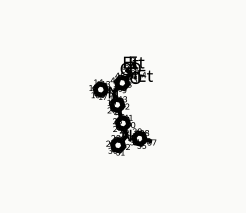 CCO[Si](OCC)(OCC)c1ccc(N(c2ccccc2)c2ccc(-c3ccc(N(c4ccccc4)c4ccc(C)cc4)cc3)cc2)cc1